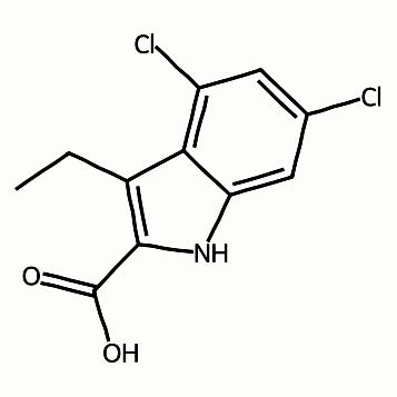 CCc1c(C(=O)O)[nH]c2cc(Cl)cc(Cl)c12